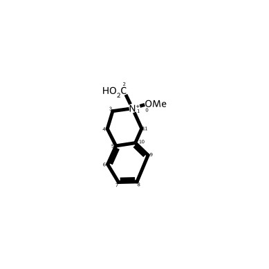 CO[N+]1(C(=O)O)CCc2ccccc2C1